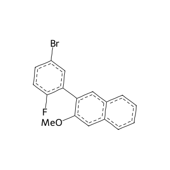 COc1cc2ccccc2cc1-c1cc(Br)ccc1F